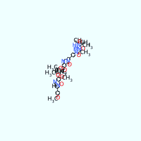 CCC(=O)NC(C(=O)NC(C)C(=O)Nc1ccc(C2=CN3C(=O)c4cc(OC)c(OCC(C)(C)CC(C)(C)COc5cc6c(cc5OC)C(=O)N5C=C(c7ccc(OC)cc7)C[C@H]5C=N6)cc4N=CC3C2)cc1)C(C)C